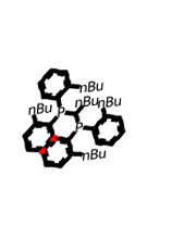 CCCCc1ccccc1P(c1ccccc1CCCC)C(CCCC)P(c1ccccc1CCCC)c1ccccc1CCCC